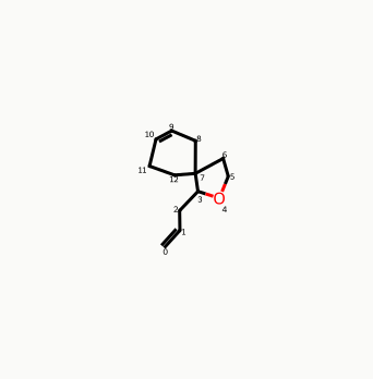 C=CCC1OCCC12CC=CCC2